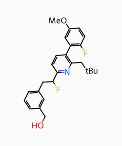 COc1ccc(F)c(-c2ccc(C(F)Cc3cccc(CO)c3)nc2CC(C)(C)C)c1